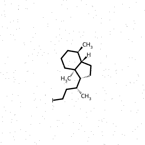 C[C@H](CCI)[C@H]1CC[C@H]2[C@H](C)CCC[C@]12C